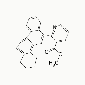 COC(=O)c1cccnc1-c1cc2c3c(ccc2c2ccccc12)CCCC3